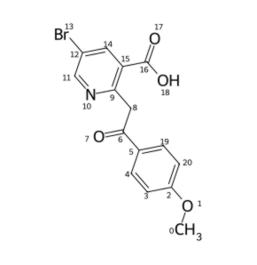 COc1ccc(C(=O)Cc2ncc(Br)cc2C(=O)O)cc1